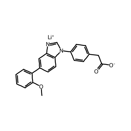 COc1ccccc1-c1ccc2c(c1)ncn2-c1ccc(CC(=O)[O-])cc1.[Li+]